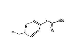 CCC(C)C(=O)Oc1ccc(CC(C)C)cc1